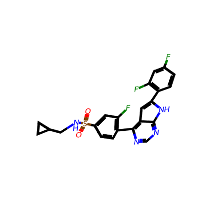 O=S(=O)(NCC1CC1)c1ccc(-c2ncnc3[nH]c(-c4ccc(F)cc4F)cc23)c(F)c1